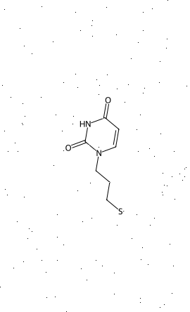 O=c1ccn(CCC[S])c(=O)[nH]1